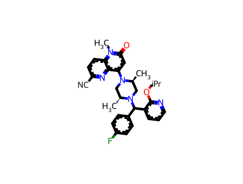 CC(C)Oc1ncccc1C(c1ccc(F)cc1)N1C[C@H](C)N(c2cc(=O)n(C)c3ccc(C#N)nc23)C[C@H]1C